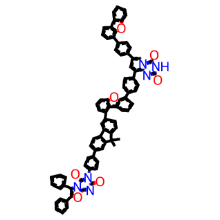 CC1(C)c2ccc(-c3cccc4oc5c(-c6ccc(-c7cc(-c8ccc(-c9cccc%10c9oc9ccccc9%10)cc8)cn8c(=O)[nH]c(=O)nc78)cc6)cccc5c34)cc2-c2ccc(-c3ccc(-n4c(=O)nc5oc(-c6ccccc6)c(-c6ccccc6)n5c4=O)cc3)cc21